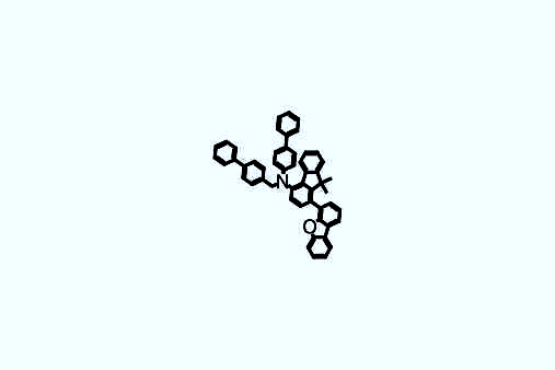 CC1(C)c2ccccc2-c2c(N(Cc3ccc(-c4ccccc4)cc3)c3ccc(-c4ccccc4)cc3)ccc(-c3cccc4c3oc3ccccc34)c21